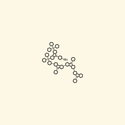 CC(C)(C)c1ccc(-n2c3ccc([Si](c4ccccc4)(c4ccccc4)c4ccccc4)cc3c3cc([Si](c4ccccc4)(c4ccccc4)c4cccc(-c5ccc6c7cc(-c8ccc9c(c8)c8cc(-c%10ccc%11c(c%10)c%10ccccc%10n%11-c%10ccccc%10)ccc8n9-c8ccccc8)ccc7n(-c7ccccc7)c6c5)c4)ccc32)cc1